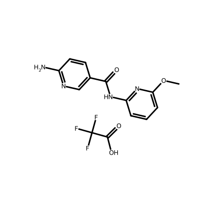 COc1cccc(NC(=O)c2ccc(N)nc2)n1.O=C(O)C(F)(F)F